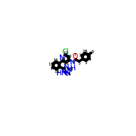 Cc1ccc(CC(=O)Nc2cc(Cl)nc(-c3ccccc3-c3nnn[nH]3)c2)cc1